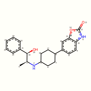 C[C@H](NC1CCC(c2ccc3[nH]c(=O)oc3c2)CC1)[C@H](O)c1ccccc1